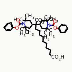 CC1(C)CC(C(CCCCCCCCCC(=O)O)(C(=O)O)C2CC(C)(C)N(C(=O)Oc3ccccc3)C(C)(C)C2)CC(C)(C)N1C(=O)Oc1ccccc1